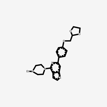 CCN1CCN(c2nc(-c3ccc(OCC4OCCO4)cc3)cc3sccc23)CC1